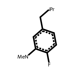 CNc1cc(CC(C)C)ccc1F